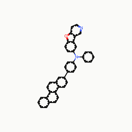 c1ccc(N(c2ccc(-c3ccc4c(ccc5c6ccccc6ccc45)c3)cc2)c2ccc3oc4ccncc4c3c2)cc1